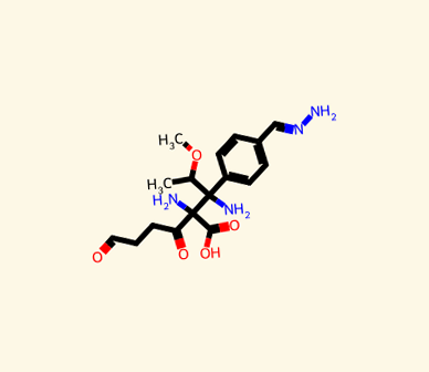 COC(C)C(N)(c1ccc(C=NN)cc1)C(N)(C(=O)O)C(=O)CCC=O